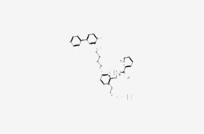 O=C(O)CCc1ccc(OCCCCOc2cccc(-c3ccccc3)c2)cc1CNC(=O)c1ccccn1